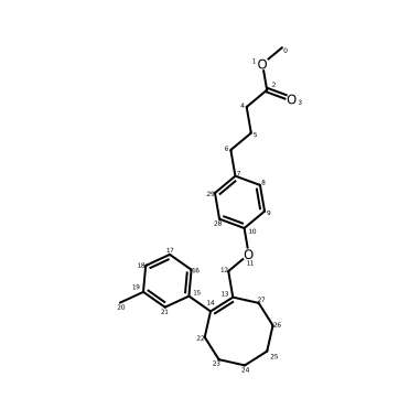 COC(=O)CCCc1ccc(OCC2=C(c3cccc(C)c3)CCCCCC2)cc1